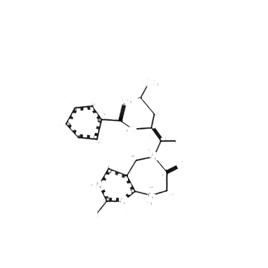 C/C(=C(\CCO)SC(=O)c1ccccc1)N1Cc2cnc(C)nc2NCC1=O